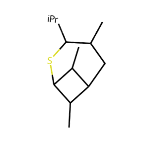 CC(C)C1SC2C(C)C(CC1C)C2C